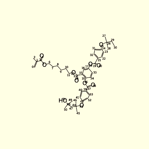 C=C(C)C(=O)OCCCCCCOC(=O)c1cc(OC(=O)c2ccc(OC(C)(C)CC)cc2)ccc1OC(=O)c1ccc(OC(C)(C)CC(C)(C)O)cc1